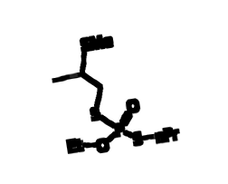 CCCSP(=O)(OCC)SCC(C)SC